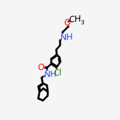 COCCNCCCc1ccc(Cl)c(C(=O)NCC2=C=C3CCCC(C3)C2)c1